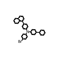 Brc1ccc(N(c2ccc(-c3ccccc3)cc2)c2ccc(-c3cccc4ccccc34)cc2)cc1